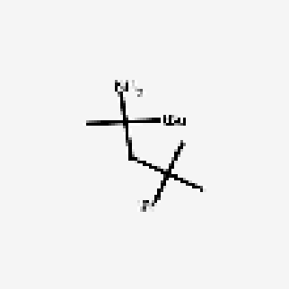 CC(C)C(C)(C)CC(C)(N)C(C)(C)C